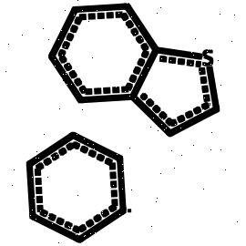 [c]1ccccc1.c1ccc2sccc2c1